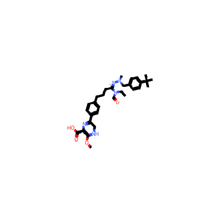 CCN(C=O)/C(CCCc1ccc(C2=NC(C(=O)O)=C(OC)NC2)cc1)=N\N(C)Cc1ccc(C(C)(C)C)cc1